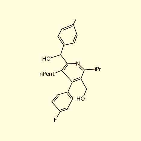 CCCCCc1c(C(O)c2ccc(C)cc2)nc(C(C)C)c(CO)c1-c1ccc(F)cc1